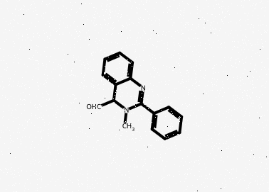 CN1C(c2ccccc2)=Nc2ccccc2C1C=O